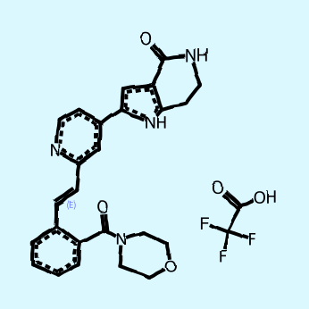 O=C(O)C(F)(F)F.O=C1NCCc2[nH]c(-c3ccnc(/C=C/c4ccccc4C(=O)N4CCOCC4)c3)cc21